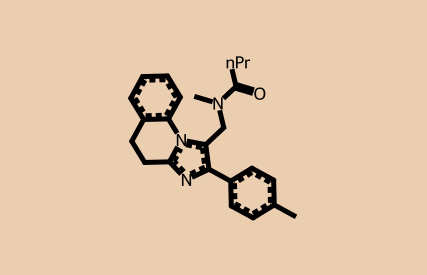 CCCC(=O)N(C)Cc1c(-c2ccc(C)cc2)nc2n1-c1ccccc1CC2